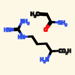 C=CC(N)=O.N=C(N)NCCCC(N)C(=O)O